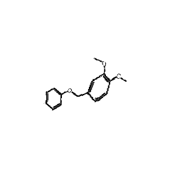 COc1ccc(COc2cc[c]cc2)cc1OC